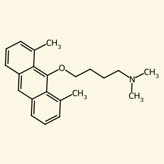 Cc1cccc2cc3cccc(C)c3c(OCCCCN(C)C)c12